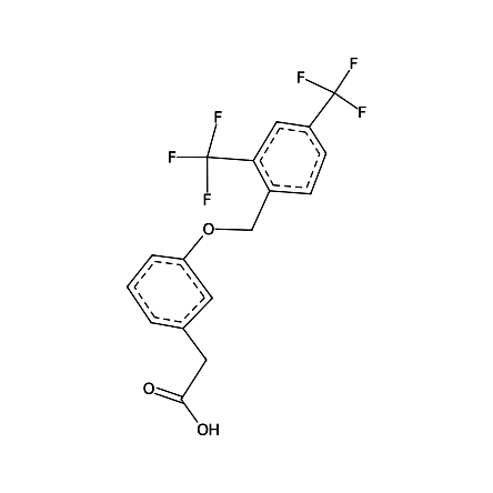 O=C(O)Cc1cccc(OCc2ccc(C(F)(F)F)cc2C(F)(F)F)c1